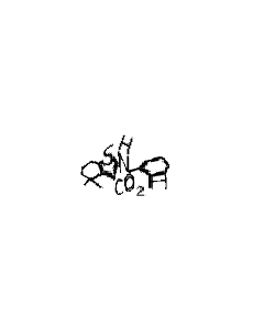 CC1(C)CCCc2sc(NC(=O)c3ccccc3)c(C(=O)O)c21